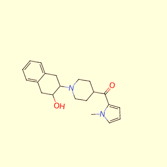 Cn1cccc1C(=O)C1CCN(C2Cc3ccccc3CC2O)CC1